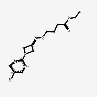 CCOC(=O)CCCON=C1CN(c2ncc(Br)cn2)C1